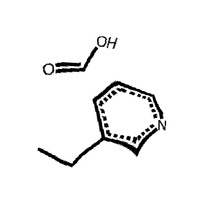 CCc1cccnc1.O=CO